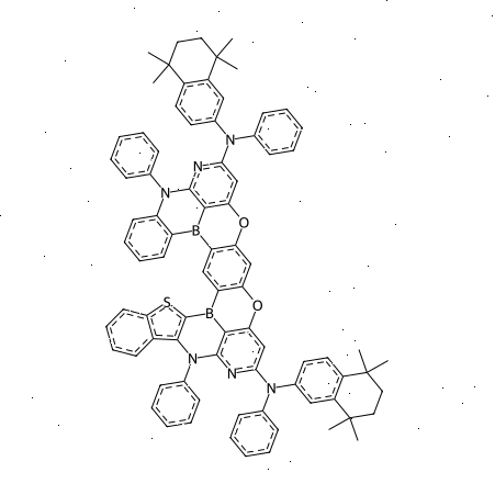 CC1(C)CCC(C)(C)c2cc(N(c3ccccc3)c3cc4c5c(n3)N(c3ccccc3)c3ccccc3B5c3cc5c(cc3O4)Oc3cc(N(c4ccccc4)c4ccc6c(c4)C(C)(C)CCC6(C)C)nc4c3B5c3sc5ccccc5c3N4c3ccccc3)ccc21